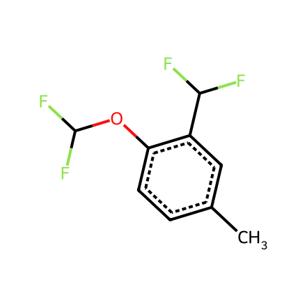 Cc1ccc(OC(F)F)c(C(F)F)c1